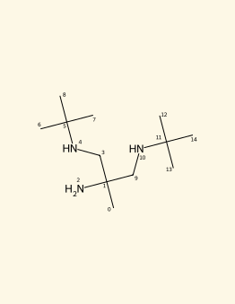 CC(N)(CNC(C)(C)C)CNC(C)(C)C